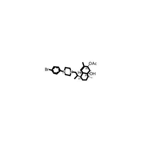 CC(=O)O[C@@H]1[CH][C@@]2(O)[C@H](C)CC[C@@H](C(C)CN3CCN(c4ccc(Br)cc4)CC3)[C@H]2C=C1C